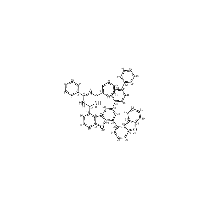 c1ccc(C2=NC(c3ccccc3)NC(c3cccc4oc5c(-c6cccc7oc8ccccc8c67)cc(-c6ccc(-c7ccccc7)cc6)cc5c34)N2)cc1